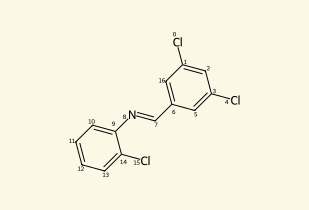 Clc1cc(Cl)cc(/C=N/c2ccccc2Cl)c1